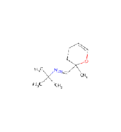 CC(C)(C)N=CC1(C)CCC=CO1